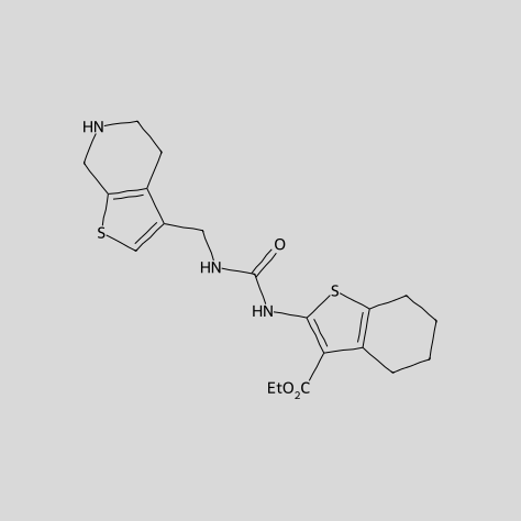 CCOC(=O)c1c(NC(=O)NCc2csc3c2CCNC3)sc2c1CCCC2